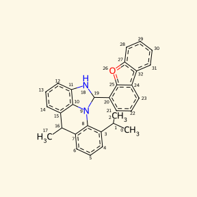 CC(C)c1cccc2c1N1c3c(cccc3C2C)NC1c1cccc2c1oc1ccccc12